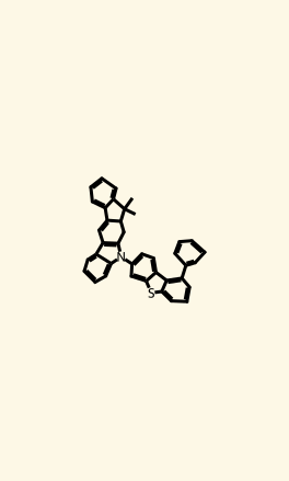 CC1(C)c2ccccc2C2=Cc3c(n(-c4ccc5c(c4)sc4cccc(-c6ccccc6)c45)c4ccccc34)CC21